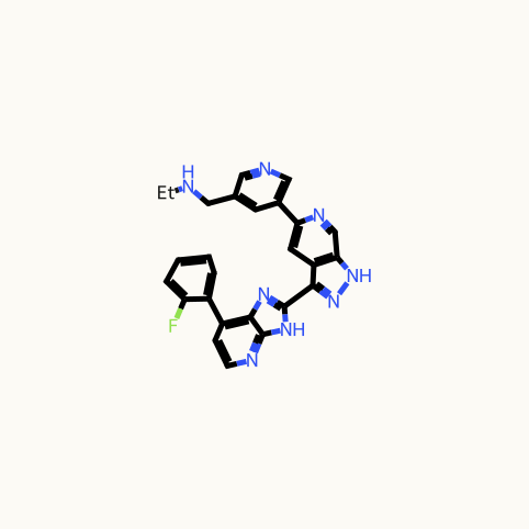 CCNCc1cncc(-c2cc3c(-c4nc5c(-c6ccccc6F)ccnc5[nH]4)n[nH]c3cn2)c1